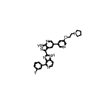 Fc1cccc(-c2nccc3[nH]c(-c4n[nH]c5ncc(-c6cncc(OCCN7CCCC7)c6)cc45)nc23)c1